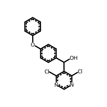 OC(c1ccc(Oc2ccccc2)cc1)c1c(Cl)ncnc1Cl